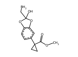 BCC1(O)Oc2ccc(C3(C(=O)OC)CC3)cc2O1